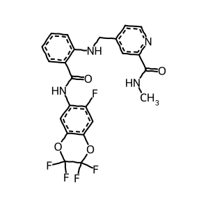 CNC(=O)c1cc(CNc2ccccc2C(=O)Nc2cc3c(cc2F)OC(F)(F)C(F)(F)O3)ccn1